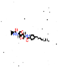 CCCCCC1CCC(C(=O)N[C@H]2CO[C@H]3[C@@H]2OC[C@@H]3NC(=O)C2CC2)CC1